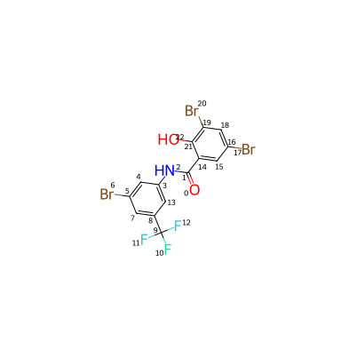 O=C(Nc1cc(Br)cc(C(F)(F)F)c1)c1cc(Br)cc(Br)c1O